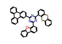 c1ccc2c(c1)Sc1cccc(-c3nc(-c4ccc5c6ccccc6c6ccccc6c5c4)nc(-c4cccc5c4oc4ccccc45)n3)c1S2